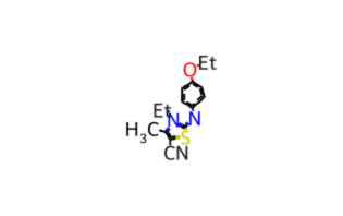 CCOc1ccc(N=c2sc(C#N)c(C)n2CC)cc1